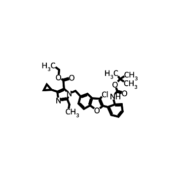 CCOC(=O)c1c(C2CC2)nc(CC)n1Cc1ccc2oc(-c3ccccc3NC(=O)OC(C)(C)C)c(Cl)c2c1